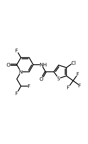 O=C(Nc1cc(F)c(=O)n(CC(F)F)c1)c1cc(Cl)c(C(F)(F)F)s1